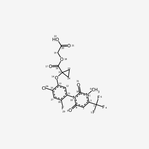 Cn1c(C(F)(F)F)cc(=O)n(-c2cc(OC3(C(=O)OCC(=O)O)CC3)c(Cl)cc2F)c1=O